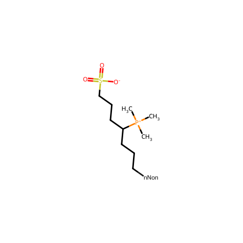 CCCCCCCCCCCCC(CCCS(=O)(=O)[O-])[P+](C)(C)C